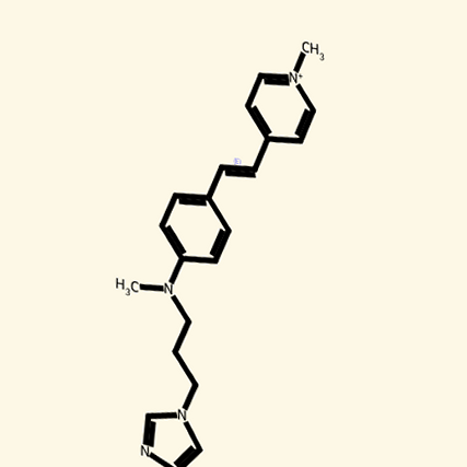 CN(CCCn1ccnc1)c1ccc(/C=C/c2cc[n+](C)cc2)cc1